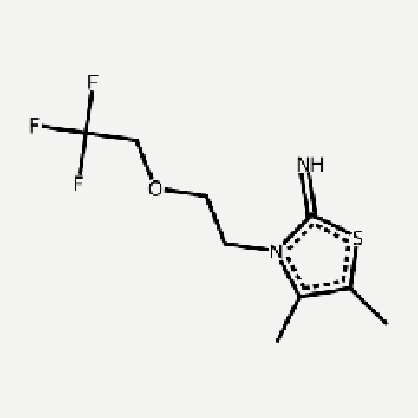 Cc1sc(=N)n(CCOCC(F)(F)F)c1C